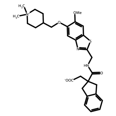 COc1cc2sc(CNC(=O)C3(CC(=O)[O-])Cc4ccccc4C3)nc2cc1OCC1CC[N+](C)(C)CC1